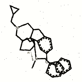 C[C@@H]1CC23CCC(N(C)Cc4ccccc4)C1C21c2cc(Oc4ccccc4)ccc2CC1CN(CC1CC1)C3